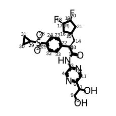 O=C(Nc1cnc(C(O)CO)cn1)[C@H](C[C@H]1C[C@@H](F)[C@@H](F)C1)c1ccc(S(=O)(=O)C2CC2)cc1